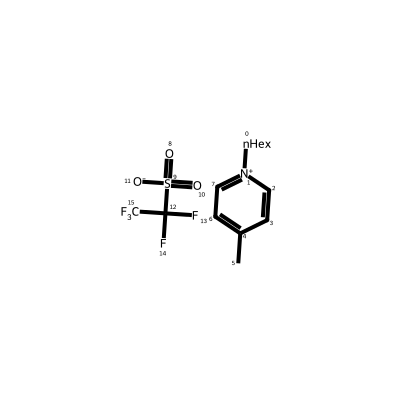 CCCCCC[n+]1ccc(C)cc1.O=S(=O)([O-])C(F)(F)C(F)(F)F